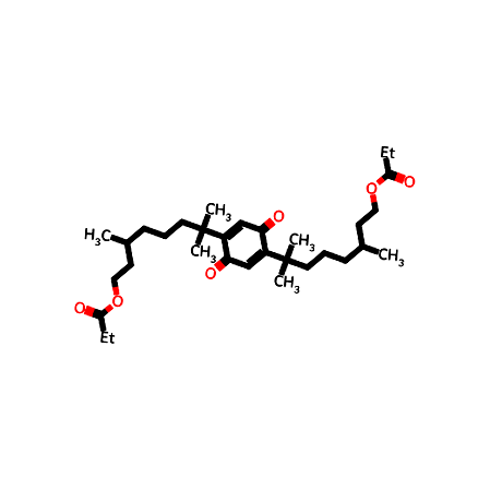 CCC(=O)OCCC(C)CCCC(C)(C)C1=CC(=O)C(C(C)(C)CCCC(C)CCOC(=O)CC)=CC1=O